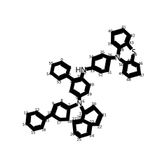 C1=CC(c2cc(N(C3=CC=C(c4ccccc4)CC3)c3cccc4ccccc34)ccc2Nc2ccc(N3c4ccccc4Sc4ccccc43)cc2)=CCC1